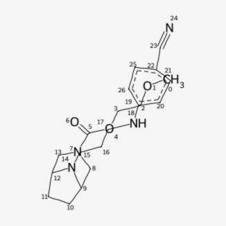 COCCOC(=O)N1CC2CCC(C1)N2CCCNc1ccc(C#N)cc1